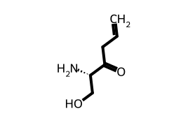 C=CCC(=O)[C@@H](N)CO